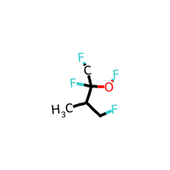 CC(CF)C(F)(CF)OF